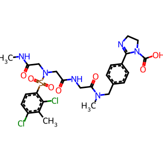 CNC(=O)CN(CC(=O)NCC(=O)N(C)Cc1ccc(C2=NCCN2C(=O)O)cc1)S(=O)(=O)c1ccc(Cl)c(C)c1Cl